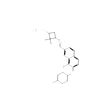 CC1CCC(Oc2ccc3ccc(CNC4CC(C(=O)O)C4(C)C)cc3c2Cl)CC1